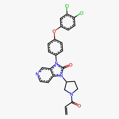 C=CC(=O)N1CCC(n2c(=O)n(-c3ccc(Oc4ccc(Cl)c(Cl)c4)cc3)c3cnccc32)C1